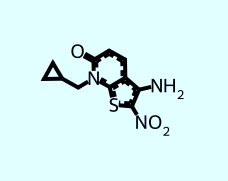 Nc1c([N+](=O)[O-])sc2c1ccc(=O)n2CC1CC1